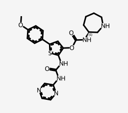 COc1ccc(-c2cc(OC(=O)N[C@H]3CCCCNC3)c(NC(=O)Nc3cnccn3)s2)cc1